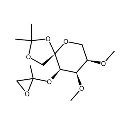 CO[C@H]1[C@@H](OC2(C)CO2)[C@@]2(COC(C)(C)O2)OC[C@H]1OC